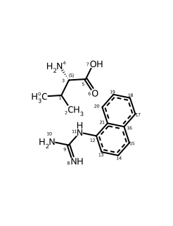 CC(C)[C@H](N)C(=O)O.N=C(N)Nc1cccc2ccccc12